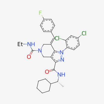 CCNC(=O)N1C/C(=C\c2ccc(F)cc2)c2c(c(C(=O)N[C@H](C)C3CCCCC3)nn2-c2ccc(Cl)cc2Cl)C1